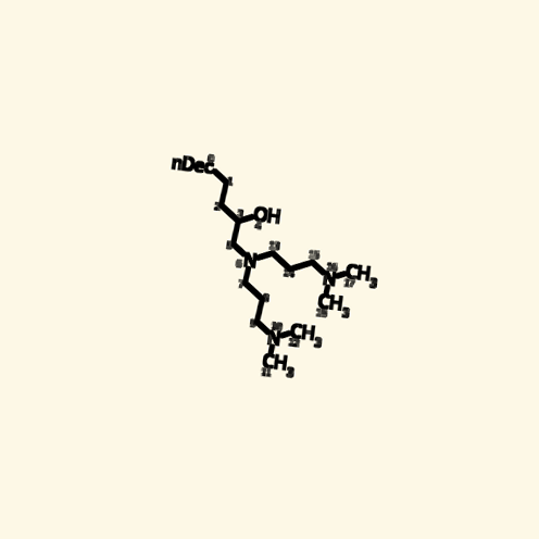 CCCCCCCCCCCCC(O)CN(CCCN(C)C)CCCN(C)C